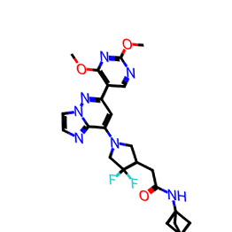 COc1ncc(-c2cc(N3CC(CC(=O)NC45CC(C4)C5)C(F)(F)C3)c3nccn3n2)c(OC)n1